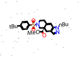 CCCCn1ncc2c1C=C1CCN(S(=O)(=O)c3ccc(C(C)(C)C)cc3)C[C@@]1(C(=O)OC)C2